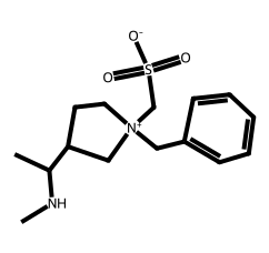 CNC(C)C1CC[N+](Cc2ccccc2)(CS(=O)(=O)[O-])C1